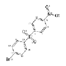 O=[N+]([O-])c1ccc(S(=O)(=O)c2ccc(Br)cc2)cc1